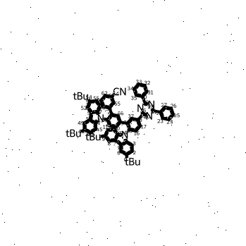 CC(C)(C)c1ccc2c(c1)c1cc(C(C)(C)C)ccc1n2-c1ccc(-c2nc(-c3ccccc3)nc(-c3ccccc3)n2)cc1-c1ccc(-n2c3ccc(C(C)(C)C)cc3c3cc(C(C)(C)C)ccc32)c(-c2cccc(C#N)c2)c1